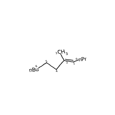 CCC/C=C(\C)CCCCCC